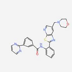 O=C(Nc1ccccc1-c1nc2cc(CN3CCOCC3)cnc2s1)c1cccc(-c2ncccn2)c1